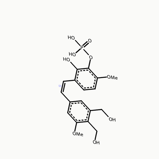 COc1cc(/C=C\c2ccc(OC)c(OP(=O)(O)O)c2O)cc(CO)c1CO